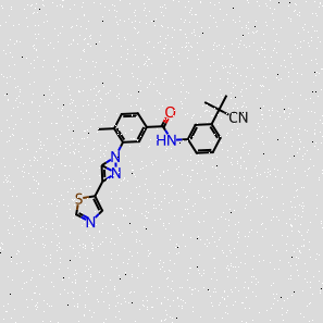 Cc1ccc(C(=O)Nc2cccc(C(C)(C)C#N)c2)cc1-n1c2c(-c3cncs3)n1-2